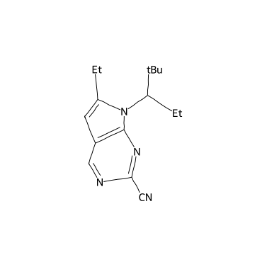 CCc1cc2cnc(C#N)nc2n1C(CC)C(C)(C)C